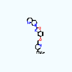 COc1ccc(COc2ccc3oc(N4CCc5cccnc5C4)nc3c2)nc1